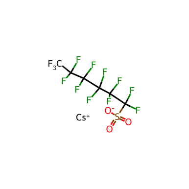 O=S(=O)([O-])C(F)(F)C(F)(F)C(F)(F)C(F)(F)C(F)(F)C(F)(F)F.[Cs+]